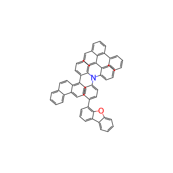 c1ccc(-c2cccc3cccc(-c4ccccc4N(c4ccc(-c5cccc6c5oc5ccccc56)cc4)c4ccccc4-c4cccc5c4ccc4ccccc45)c23)cc1